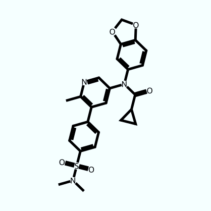 Cc1ncc(N(C(=O)C2CC2)c2ccc3c(c2)OCO3)cc1-c1ccc(S(=O)(=O)N(C)C)cc1